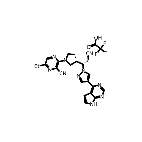 CCc1cnc(N2CC[C@H]([C@H](CC#N)n3cc(-c4ncnc5[nH]ccc45)cn3)C2)c(C#N)n1.O=C(O)C(F)(F)F